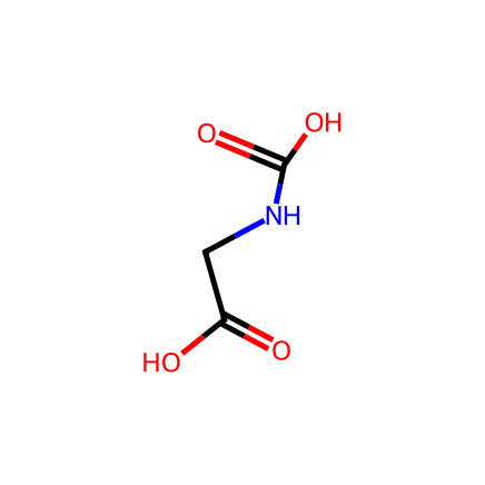 O=C(O)CNC(=O)O